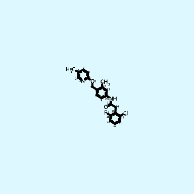 Cc1ccc(OCc2ccc(NC(=O)Cc3c(F)cccc3Cl)cc2C)nc1